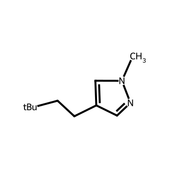 Cn1cc(CCC(C)(C)C)cn1